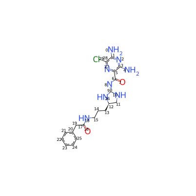 Nc1nc(N)c(C(=O)/N=C2\NC[C@@H](CCCNC(=O)Cc3ccccc3)N2)nc1Cl